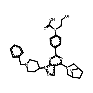 O=C(O)N(CCO)c1ccc(-c2nc(N3CC4CCC(C3)O4)c3cnn(C4CCN(Cc5ccccc5)CC4)c3n2)cc1